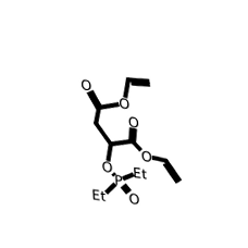 C=COC(=O)CC(OP(=O)(CC)CC)C(=O)OC=C